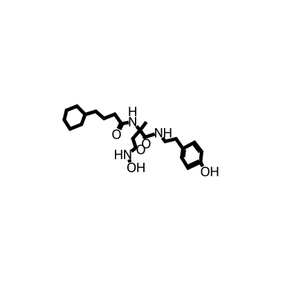 CC(CC(=O)NO)(NC(=O)CCCC1CCCCC1)C(=O)NCCc1ccc(O)cc1